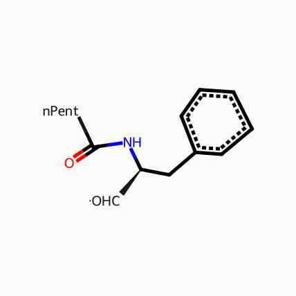 CCCCCC(=O)N[C@H]([C]=O)Cc1ccccc1